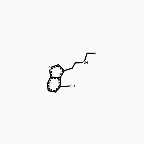 Oc1cccc2scc(CCNCF)c12